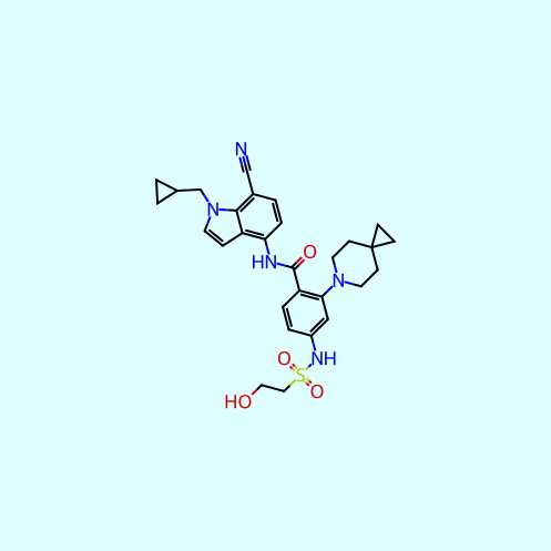 N#Cc1ccc(NC(=O)c2ccc(NS(=O)(=O)CCO)cc2N2CCC3(CC2)CC3)c2ccn(CC3CC3)c12